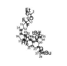 CCOC(C)OC(C)(C)C(F)(F)CC[C@@H](C)[C@H]1CC[C@H]2C3=CC=C4C[C@@H](O[Si](C)(C)C(C)(C)C)C[C@H](O[Si](C)(C)C(C)(C)C)[C@]4(C)[C@H]3CC[C@]12C